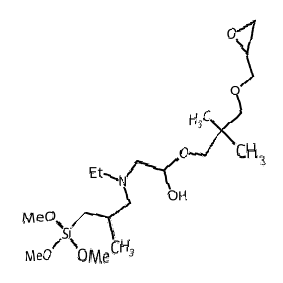 CCN(CC(C)C[Si](OC)(OC)OC)CC(O)OCC(C)(C)COCC1CO1